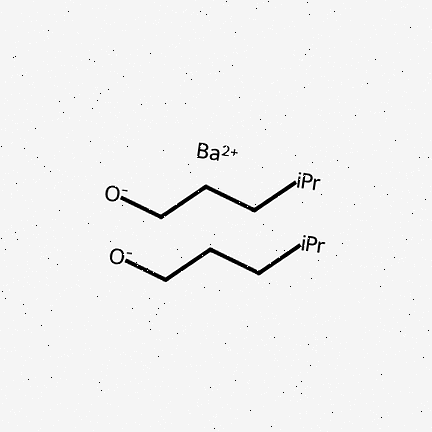 CC(C)CCC[O-].CC(C)CCC[O-].[Ba+2]